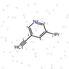 C#Cc1cncc(C(C)C)c1